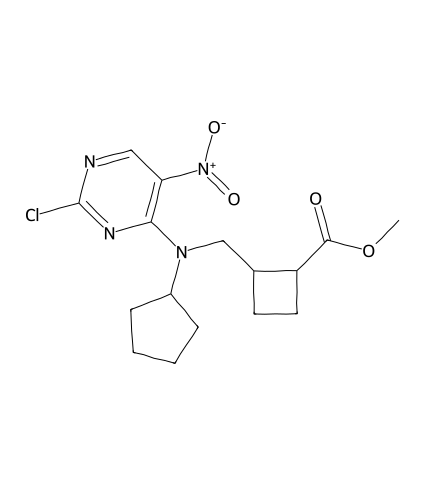 COC(=O)C1CCC1CN(c1nc(Cl)ncc1[N+](=O)[O-])C1CCCC1